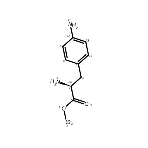 CC(C)(C)OC(=O)[C@@H](N)Cc1ccc(N)cc1